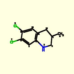 CC1CNc2cc(Cl)c(Cl)cc2C1